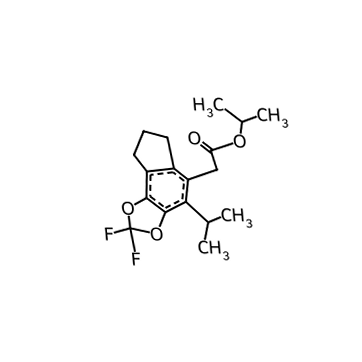 CC(C)OC(=O)Cc1c2c(c3c(c1C(C)C)OC(F)(F)O3)CCC2